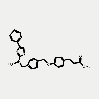 COC(=O)CCc1ccc(OCc2ccc(CN(C)c3nc(-c4ccccc4)cs3)cc2)cc1